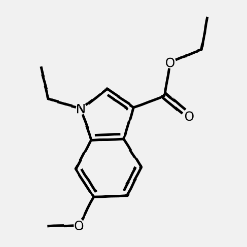 CCOC(=O)c1cn(CC)c2cc(OC)ccc12